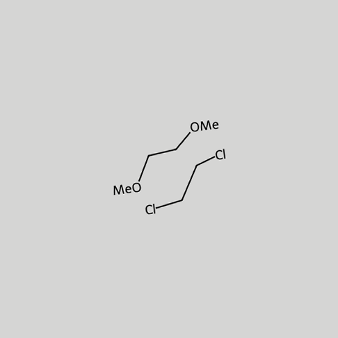 COCCOC.ClCCCl